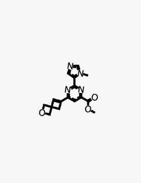 COC(=O)c1cc(C2=CC3(COC3)C2)nc(-c2cncn2C)n1